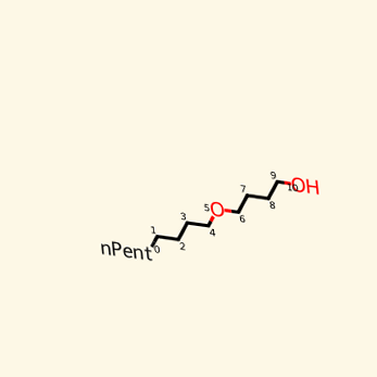 CCCCCCCCCOCCCCO